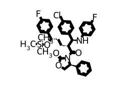 C[Si](C)(C)O[C@@H](CC[C@@H](C(=O)N1C(=O)OC[C@@H]1c1ccccc1)[C@H](Nc1ccc(F)cc1)c1ccc(Cl)cc1)c1ccc(F)cc1